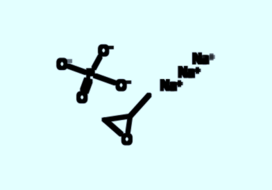 CC1CO1.O=P([O-])([O-])[O-].[Na+].[Na+].[Na+]